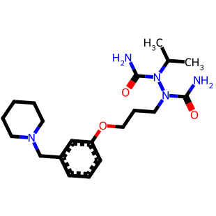 CC(C)N(C(N)=O)N(CCCOc1cccc(CN2CCCCC2)c1)C(N)=O